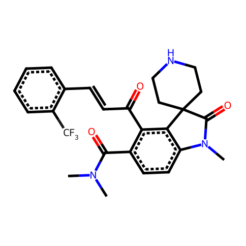 CN(C)C(=O)c1ccc2c(c1C(=O)/C=C/c1ccccc1C(F)(F)F)C1(CCNCC1)C(=O)N2C